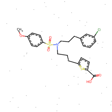 COc1ccc(S(=O)(=O)N(CCCc2cccc(Cl)c2)CCCc2ccc(C(=O)O)s2)cc1